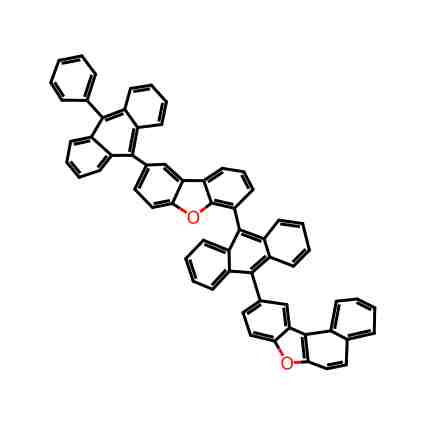 c1ccc(-c2c3ccccc3c(-c3ccc4oc5c(-c6c7ccccc7c(-c7ccc8oc9ccc%10ccccc%10c9c8c7)c7ccccc67)cccc5c4c3)c3ccccc23)cc1